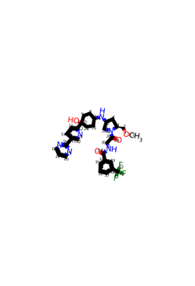 COC[C@@H]1CC(NC2CCC(O)(c3ccc(-c4ncccn4)cn3)CC2)CN1C(=O)CNC(=O)c1cccc(C(F)(F)F)c1